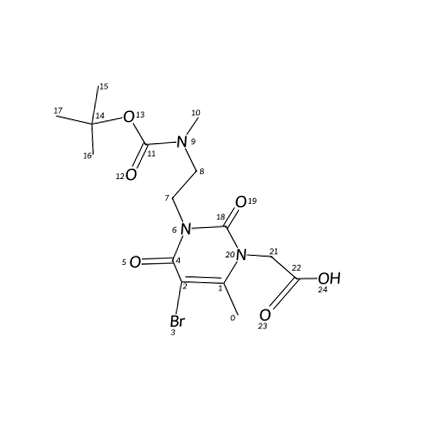 Cc1c(Br)c(=O)n(CCN(C)C(=O)OC(C)(C)C)c(=O)n1CC(=O)O